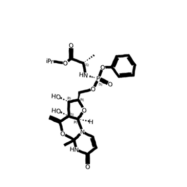 C=C1OC2(C)NC(=O)C=CN2[C@@H]2O[C@H](CO[P@@](=O)(N[C@@H](C)C(=O)OC(C)C)Oc3ccccc3)[C@@H](O)[C@]12O